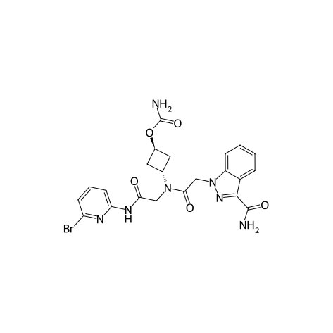 NC(=O)O[C@H]1C[C@H](N(CC(=O)Nc2cccc(Br)n2)C(=O)Cn2nc(C(N)=O)c3ccccc32)C1